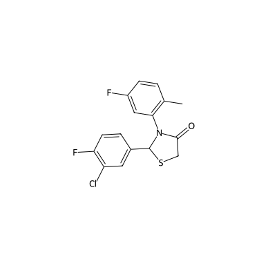 Cc1ccc(F)cc1N1C(=O)CSC1c1ccc(F)c(Cl)c1